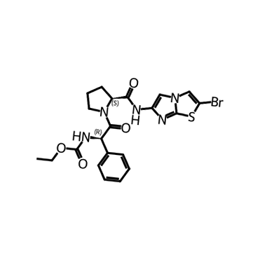 CCOC(=O)N[C@@H](C(=O)N1CCC[C@H]1C(=O)Nc1cn2cc(Br)sc2n1)c1ccccc1